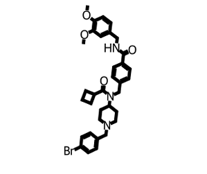 COc1ccc(CNC(=O)c2ccc(CN(C(=O)C3CCC3)C3CCN(Cc4ccc(Br)cc4)CC3)cc2)cc1OC